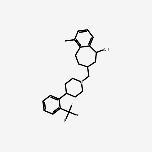 Cc1cccc2c1CCC(CN1CCC(c3ccccc3C(F)(F)F)CC1)CC2O